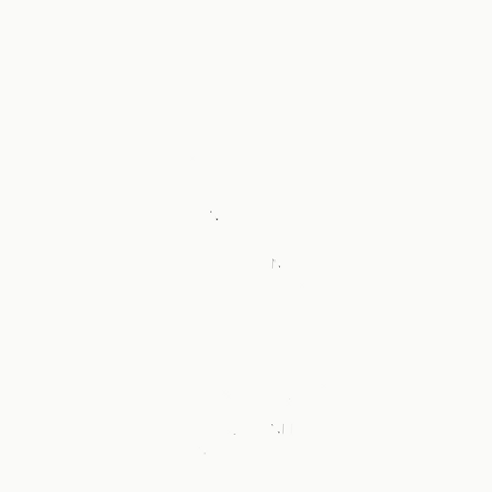 O=C1NC(=S)S/C1=C/c1ccccc1N1CCN(Cc2ccccc2)CC1